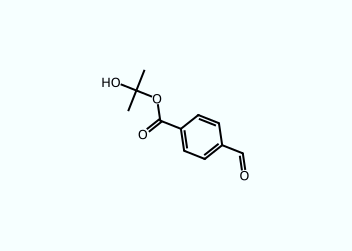 CC(C)(O)OC(=O)c1ccc(C=O)cc1